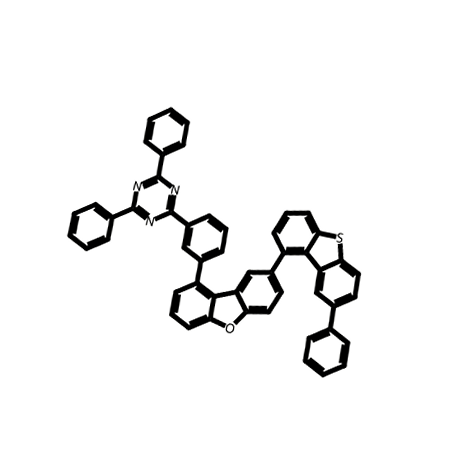 c1ccc(-c2ccc3sc4cccc(-c5ccc6oc7cccc(-c8cccc(-c9nc(-c%10ccccc%10)nc(-c%10ccccc%10)n9)c8)c7c6c5)c4c3c2)cc1